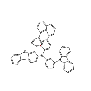 c1ccc(-c2cccc3cccc(-c4ccc(N(c5cccc(-n6c7ccccc7c7ccccc76)c5)c5ccc6c(c5)sc5ccccc56)cc4)c23)cc1